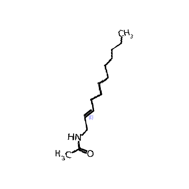 CCCCCCCCC/C=C/CNC(C)=O